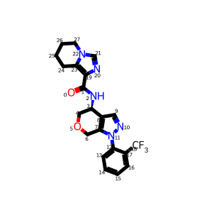 O=C(N[C@@H]1COCc2c1cnn2-c1ccccc1C(F)(F)F)c1ncn2c1CCCC2